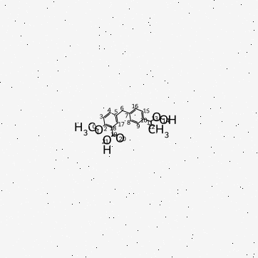 COc1ccc(Cc2ccc(C(C)OO)cc2)cc1C(=O)O